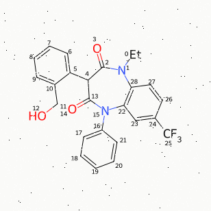 CCN1C(=O)C(c2ccccc2CO)C(=O)N(c2ccccc2)c2cc(C(F)(F)F)ccc21